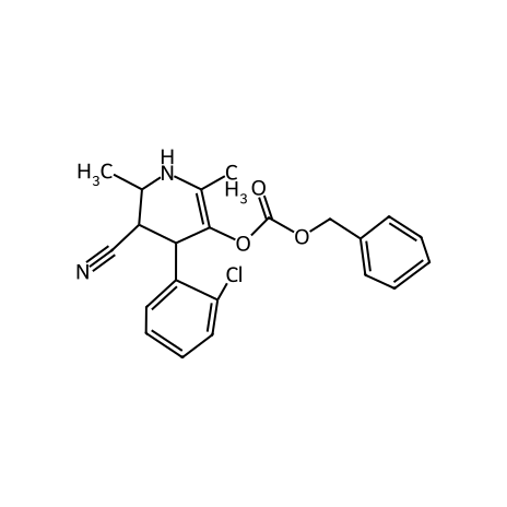 CC1=C(OC(=O)OCc2ccccc2)C(c2ccccc2Cl)C(C#N)C(C)N1